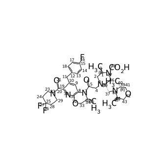 C[C@@H]1CN(CC(=O)N2c3cc(Cc4ccc(F)cc4)c(C(=O)N4CCC(F)(F)CC4)nc3OC[C@@H]2C)[C@@H](CN2[C@H](C)COC[C@H]2C)CN1C(=O)O